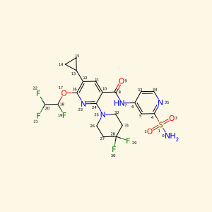 NS(=O)(=O)c1cc(NC(=O)c2cc(C3CC3)c(OC(F)C(F)F)nc2N2CCC(F)(F)CC2)ccn1